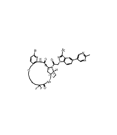 CC(=O)c1nn(CC(=O)N2[C@H]3C[C@]4(CC[C@@H]24)CNC(=O)C(F)(F)CCCCOCc2ccc(Br)nc2NC3=O)c2ccc(-c3cnc(C)nc3)cc12